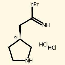 CCCC(=N)C[C@@H]1CCNC1.Cl.Cl